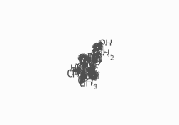 COC(=O)CC[C@H](NC(=O)CCl)C(=O)N1CCCC[C@H]1C(=O)NC(Cc1c[nH]c2ccccc12)C(=O)N[C@@H](Cc1ccc(O)cc1)C(N)=O